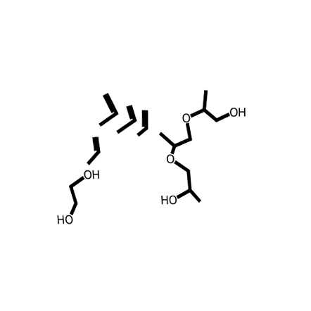 C=CC.C=CC.C=CC.C=CC.CC(O)COC(C)COC(C)CO.OCCO